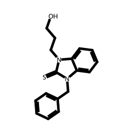 OCCCn1c(=S)n(Cc2ccccc2)c2ccccc21